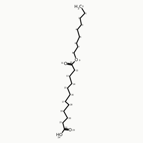 CCCCCCCCCOC(=O)CCCCCCCCCCC(=O)O